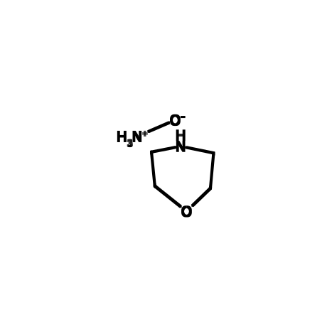 C1COCCN1.[NH3+][O-]